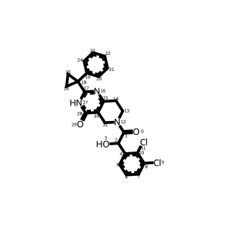 O=C(C(O)c1cccc(Cl)c1Cl)N1CCc2nc(C3(c4ccccc4)CC3)[nH]c(=O)c2C1